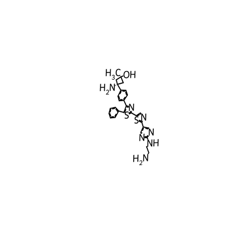 C[C@]1(O)C[C@@](N)(c2ccc(-c3nc(-c4cnc(-c5cnc(NCCN)nc5)s4)sc3-c3ccccc3)cc2)C1